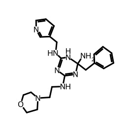 NC1(Cc2ccccc2)N=C(NCCN2CCOCC2)N=C(NCc2cccnc2)N1